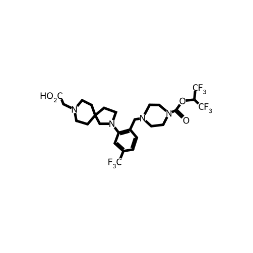 O=C(O)CN1CCC2(CC1)CCN(c1cc(C(F)(F)F)ccc1CN1CCN(C(=O)OC(C(F)(F)F)C(F)(F)F)CC1)C2